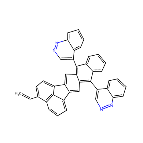 C=Cc1ccc2c3c(cccc13)-c1cc3c(-c4cnnc5ccccc45)c4ccccc4c(-c4cnnc5ccccc45)c3cc1-2